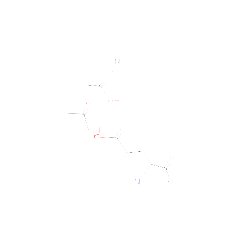 CC(=O)O.CC(=O)O.NC(CCC(=O)O)C(=O)[O-].[Na+]